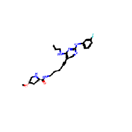 CCCNc1nc(Nc2cccc(F)c2)ncc1C#CCCCNC(=O)[C@@H]1C[C@H](OC)CN1